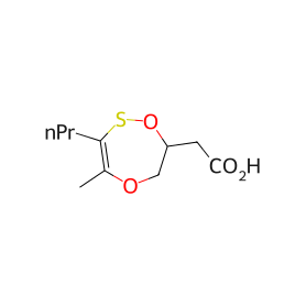 CCCC1=C(C)OCC(CC(=O)O)OS1